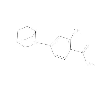 CNC(=O)c1ccc(N2CCN3CCC2CC3)cc1N